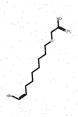 C=C(COCCCCCCC/C=C\CCCC)N=O